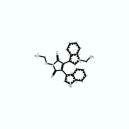 CCON1C(=O)C(c2c[nH]c3ccccc23)=C(c2cn(CC)c3ccccc23)C1=O